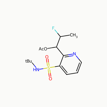 CC(=O)OC(c1ncccc1S(=O)(=O)NC(C)(C)C)C(C)F